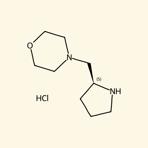 C1CN[C@H](CN2CCOCC2)C1.Cl